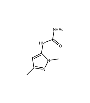 [CH2]C(=O)NC(=O)Nc1cc(C)nn1C